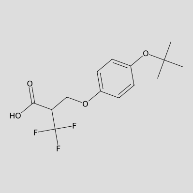 CC(C)(C)Oc1ccc(OCC(C(=O)O)C(F)(F)F)cc1